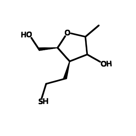 CC1O[C@H](CO)[C@H](CCS)C1O